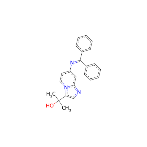 CC(C)(O)c1cnc2cc(N=C(c3ccccc3)c3ccccc3)ccn12